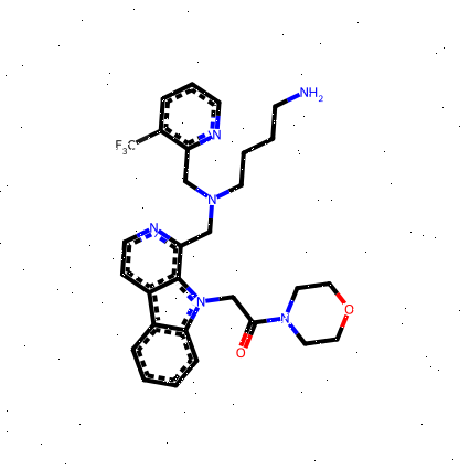 NCCCCN(Cc1ncccc1C(F)(F)F)Cc1nccc2c3ccccc3n(CC(=O)N3CCOCC3)c12